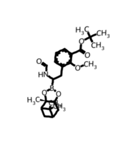 COc1c(CC(NC=O)B2OC3CC4CC(C4(C)C)[C@]3(C)O2)cccc1C(=O)OC(C)(C)C